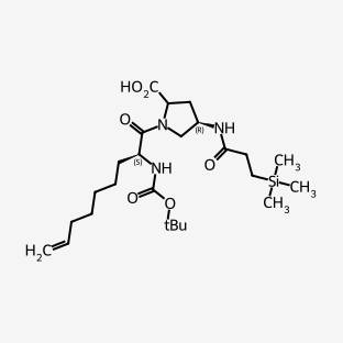 C=CCCCCC[C@H](NC(=O)OC(C)(C)C)C(=O)N1C[C@H](NC(=O)CC[Si](C)(C)C)CC1C(=O)O